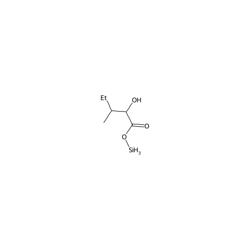 CCC(C)C(O)C(=O)O[SiH3]